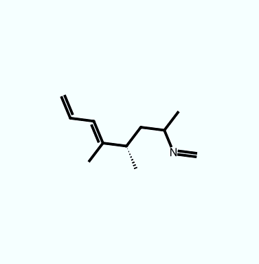 C=C/C=C(\C)[C@@H](C)CC(C)N=C